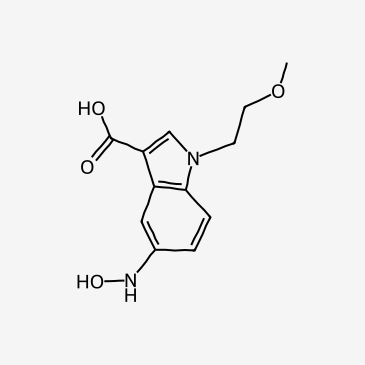 COCCn1cc(C(=O)O)c2cc(NO)ccc21